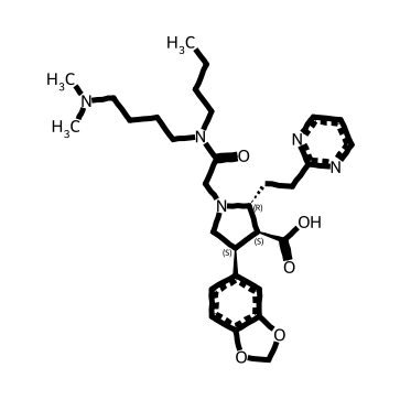 CCCCN(CCCCN(C)C)C(=O)CN1C[C@H](c2ccc3c(c2)OCO3)[C@H](C(=O)O)[C@H]1CCc1ncccn1